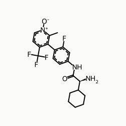 Cc1c(-c2ccc(NC(=O)[C@@H](N)C3CCCCC3)cc2F)c(C(F)(F)F)cc[n+]1[O-]